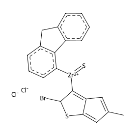 CC1=CC2=[C]([Zr+2](=[S])[c]3cccc4c3-c3ccccc3C4)C(Br)SC2=C1.[Cl-].[Cl-]